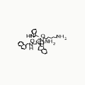 NCCCC[C@H](N)C(=O)N[C@@H](Cc1c[nH]c2ccccc12)CN(CC(=O)NCc1cccc2ccccc12)C(=O)c1ccc2ccccc2c1